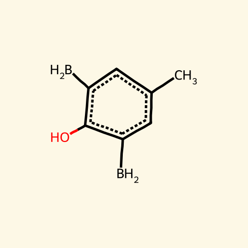 Bc1cc(C)cc(B)c1O